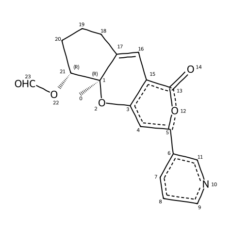 C[C@@]12Oc3cc(-c4cccnc4)oc(=O)c3C=C1CCC[C@H]2OC=O